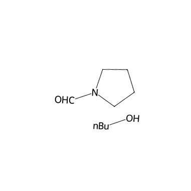 CCCCO.O=CN1CCCC1